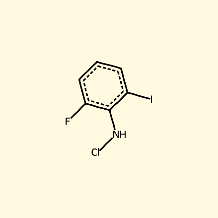 Fc1cccc(I)c1NCl